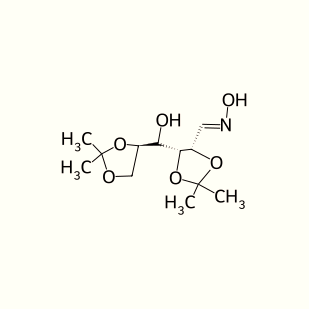 CC1(C)O[C@@H](C=NO)[C@@H](C(O)[C@H]2COC(C)(C)O2)O1